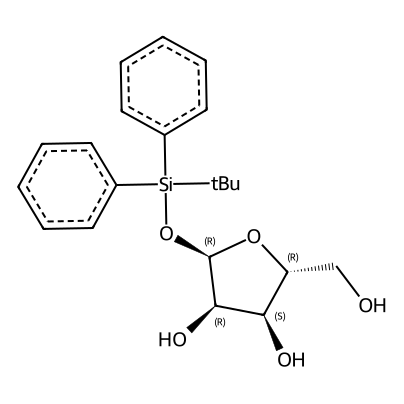 CC(C)(C)[Si](O[C@H]1O[C@H](CO)[C@@H](O)[C@H]1O)(c1ccccc1)c1ccccc1